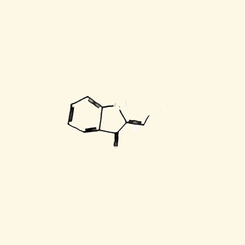 CCCCC/C=C1\Nc2ccccc2C1=O